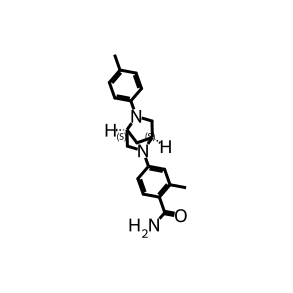 Cc1ccc(N2C[C@@H]3C[C@H]2CN3c2ccc(C(N)=O)c(C)c2)cc1